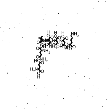 CC(C)C(N)C(=O)O.NC(=O)CC(N)C(=O)O.NC(=O)CCC(N)C(=O)O.NC(CC(=O)O)C(=O)O.NC(CC(=O)O)C(=O)O.NC(CCC(=O)O)C(=O)O.NCCCCC(N)C(=O)O